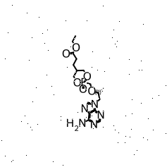 CCOC(=O)CCC1COP(=O)(CO[C@H](C)Cn2cnc3c(N)ncnc32)OC1